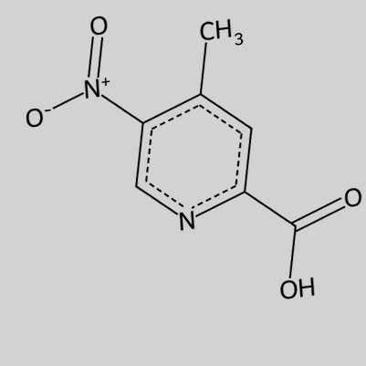 Cc1cc(C(=O)O)ncc1[N+](=O)[O-]